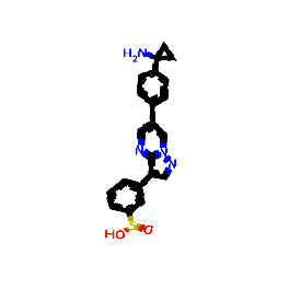 NC1(c2ccc(-c3cnc4c(-c5cccc(S(=O)O)c5)cnn4c3)cc2)CC1